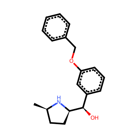 C[C@@H]1CC[C@H]([C@H](O)c2cccc(OCc3ccccc3)c2)N1